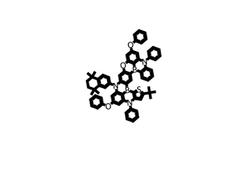 CC(C)(C)c1cc2c(s1)B1c3cc4c(cc3N(c3ccc5c(c3)C(C)(C)CCC5(C)C)c3cc(Oc5ccccc5)cc(c31)N2c1ccccc1)Oc1cc(Oc2ccccc2)cc2c1B4c1ccccc1N2c1ccccc1